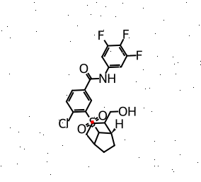 O=C(Nc1cc(F)c(F)c(F)c1)c1ccc(Cl)c(S(=O)(=O)C2C3CCC(CO)[C@@H]2CC3)c1